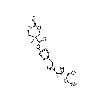 C=C(NCc1ccc(OC(=O)C2(C)COC(=O)OC2)cc1)NC(=O)OC(C)(C)C